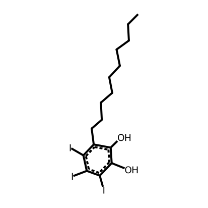 CCCCCCCCCCc1c(O)c(O)c(I)c(I)c1I